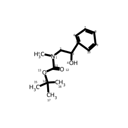 CN(CC(O)c1cc[c]cc1)C(=O)OC(C)(C)C